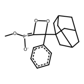 CO/[P+]([O-])=C1\OOC1(c1ccccc1)C12CC3CC(CC(C3)C1)C2